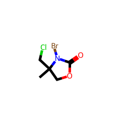 CC1(CCl)COC(=O)N1Br